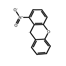 O=[N+]([O-])c1cccc2c1[CH]c1ccccc1O2